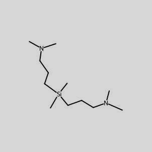 CN(C)CCC[Si](C)(C)CCCN(C)C